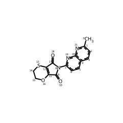 Cc1ccc2ccc(N3C(=O)C4=C(SCCO4)C3=O)nc2n1